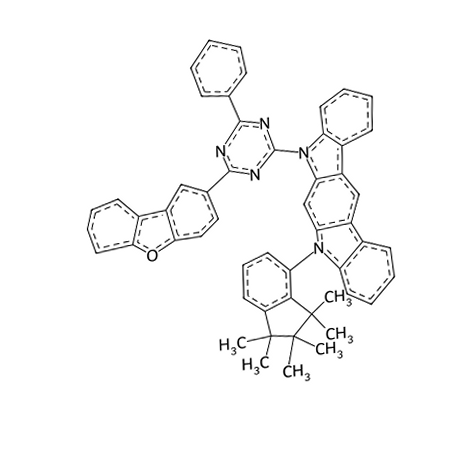 CC1(C)c2cccc(-n3c4ccccc4c4cc5c6ccccc6n(-c6nc(-c7ccccc7)nc(-c7ccc8oc9ccccc9c8c7)n6)c5cc43)c2C(C)(C)C1(C)C